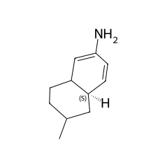 CC1CCC2C=C(N)C=C[C@H]2C1